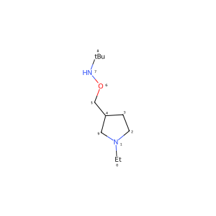 CCN1CCC(CONC(C)(C)C)C1